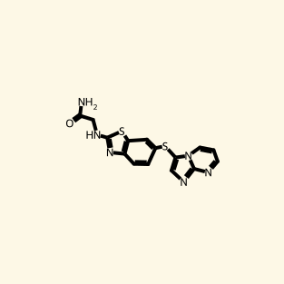 NC(=O)CNc1nc2ccc(Sc3cnc4ncccn34)cc2s1